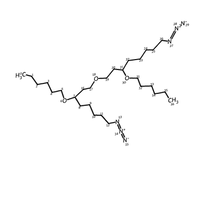 CCCCCCOC(CCCCCN=[N+]=[N-])CCOCCC(CCCCCN=[N+]=[N-])OCCCCCC